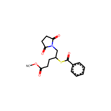 N#COC(=O)CCC(CN1C(=O)CCC1=O)SC(=O)c1ccccc1